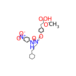 CCOC(Cc1ccc(OCCN(CCCCC2CCCCC2)C(=O)Nc2ccc([N+](=O)[O-])cc2)cc1)C(=O)O